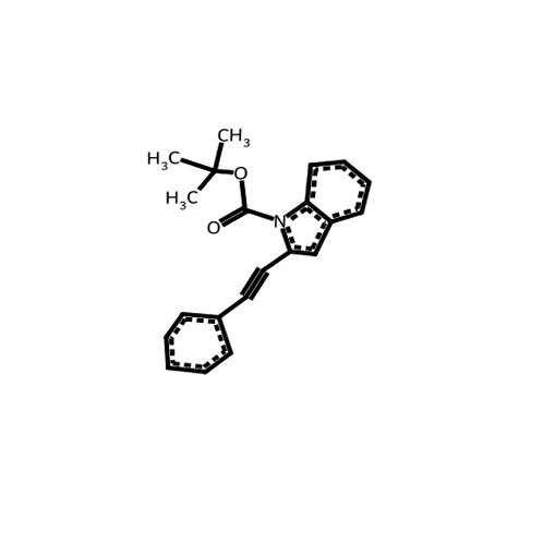 CC(C)(C)OC(=O)n1c(C#Cc2ccccc2)cc2ccccc21